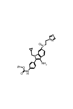 CC(C)OC(=O)Nc1ccc(-c2c(N)c3ccc([S+]([O-])CCn4cncn4)cc3n2CC2CC2)cc1